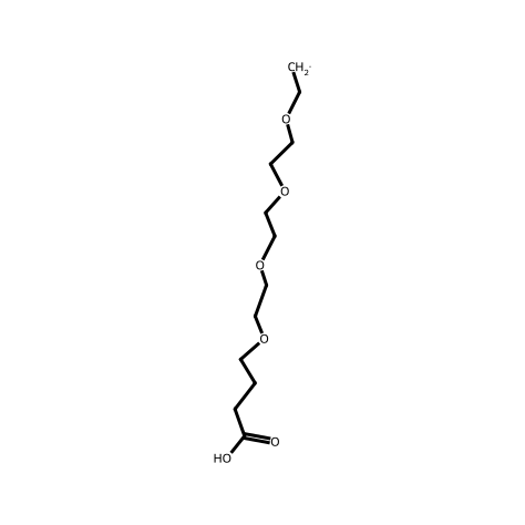 [CH2]COCCOCCOCCOCCCC(=O)O